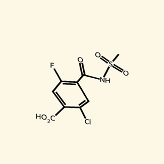 CS(=O)(=O)NC(=O)c1cc(Cl)c(C(=O)O)cc1F